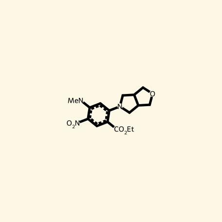 CCOC(=O)c1cc([N+](=O)[O-])c(NC)cc1N1CC2COCC2C1